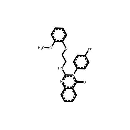 COc1ccccc1OCCNc1nc2ccccc2c(=O)n1-c1ccc(Br)cc1